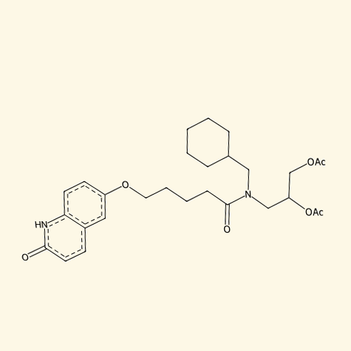 CC(=O)OCC(CN(CC1CCCCC1)C(=O)CCCCOc1ccc2[nH]c(=O)ccc2c1)OC(C)=O